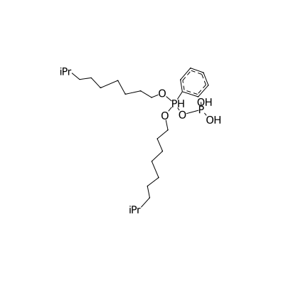 CC(C)CCCCCCCO[PH](OCCCCCCCC(C)C)(OP(O)O)c1ccccc1